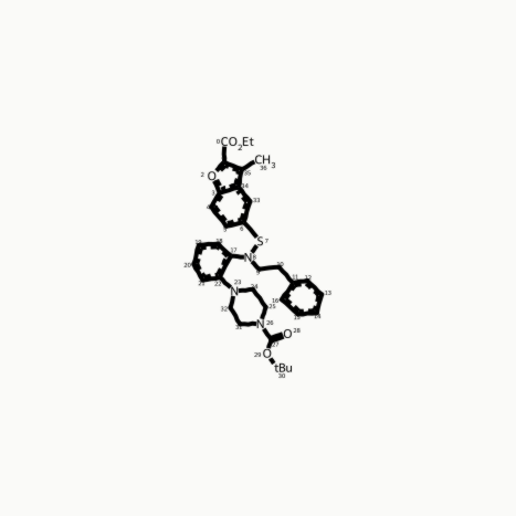 CCOC(=O)c1oc2ccc(SN(CCc3ccccc3)c3ccccc3N3CCN(C(=O)OC(C)(C)C)CC3)cc2c1C